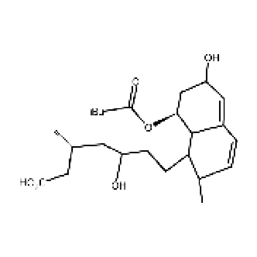 CCC(C)C(=O)O[C@H]1CC(O)C=C2C=CC(C)C(CCC(O)C[C@@H](C)CC(=O)O)C21